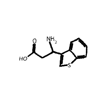 NC(CC(=O)O)c1csc2ccccc12